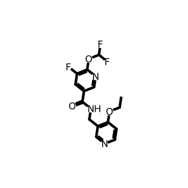 CCOc1ccncc1CNC(=O)c1cnc(OC(F)F)c(F)c1